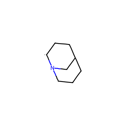 [CH]1CCC2CCCN1C2